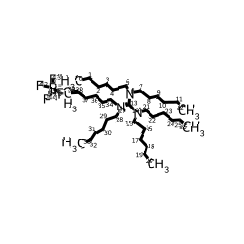 CCCCCCN(CCCCCC)C(N(CCCCCC)CCCCCC)=[N+](CCCCCC)CCCCCC.F[B-](F)(F)F